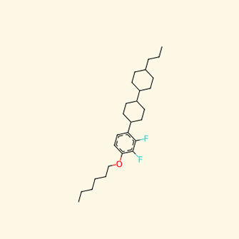 CCCCCCOc1ccc(C2CCC(C3CCC(CCC)CC3)CC2)c(F)c1F